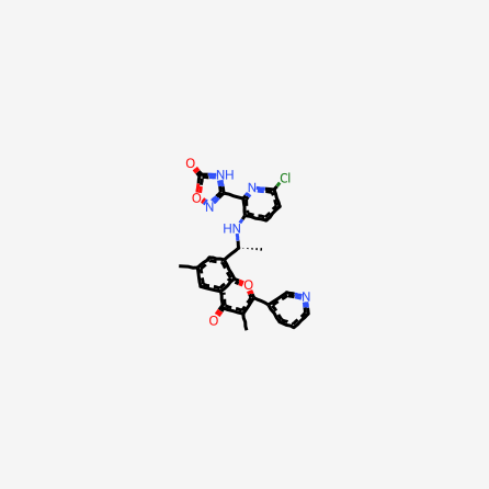 Cc1cc([C@@H](C)Nc2ccc(Cl)nc2-c2noc(=O)[nH]2)c2oc(-c3cccnc3)c(C)c(=O)c2c1